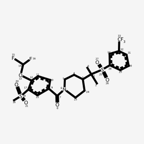 CC(C)(C1CCN(C(=O)c2ccc(OC(F)F)c(S(C)(=O)=O)c2)CC1)S(=O)(=O)c1cccc(C(F)(F)F)c1